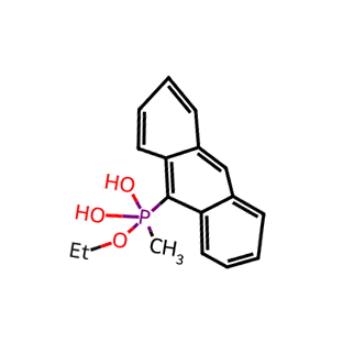 CCOP(C)(O)(O)c1c2ccccc2cc2ccccc12